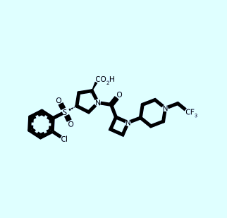 O=C(O)[C@@H]1C[C@@H](S(=O)(=O)c2ccccc2Cl)CN1C(=O)C1CCN1C1CCN(CC(F)(F)F)CC1